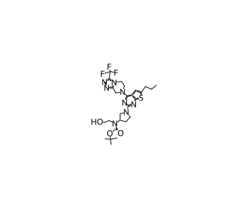 CCCc1cc2c(N3CCn4c(nnc4C(F)(F)F)C3)nc(N3CCC(N(CCO)C(=O)OC(C)(C)C)C3)nc2s1